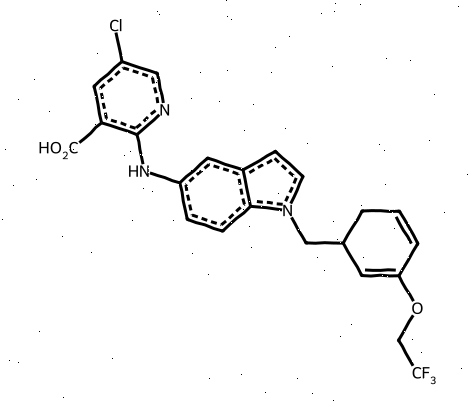 O=C(O)c1cc(Cl)cnc1Nc1ccc2c(ccn2CC2C=C(OCC(F)(F)F)C=CC2)c1